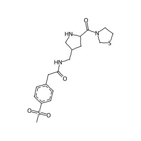 CS(=O)(=O)c1ccc(CC(=O)NCC2CNC(C(=O)N3CCSC3)C2)cc1